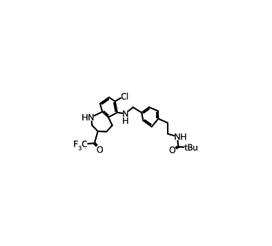 CC(C)(C)C(=O)NCCc1ccc(CNc2c(Cl)ccc3c2CCC(C(=O)C(F)(F)F)CN3)cc1